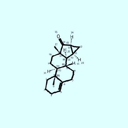 C[C@]12CCCC=C1CC[C@H]1[C@@H]3[C@@H]4C[C@@H]4C(=O)[C@@]3(C)CC[C@@H]12